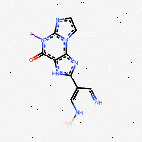 BN/C=C(\C=N)c1nc2c([nH]1)c(=O)n(I)c1nccn21